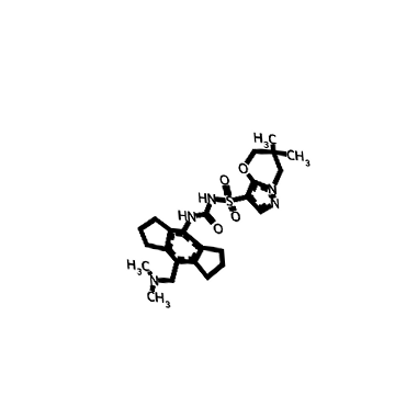 CN(C)Cc1c2c(c(NC(=O)NS(=O)(=O)c3cnn4c3OCC(C)(C)C4)c3c1CCC3)CCC2